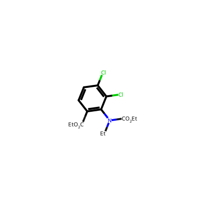 CCOC(=O)c1ccc(Cl)c(Cl)c1N(CC)C(=O)OCC